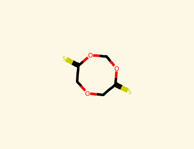 S=C1COCC(=S)OCO1